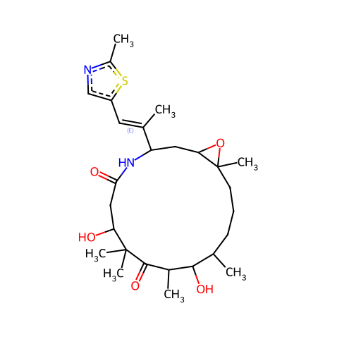 C/C(=C\c1cnc(C)s1)C1CC2OC2(C)CCCC(C)C(O)C(C)C(=O)C(C)(C)C(O)CC(=O)N1